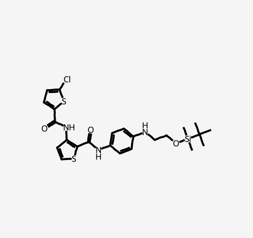 CC(C)(C)[Si](C)(C)OCCNc1ccc(NC(=O)c2sccc2NC(=O)c2ccc(Cl)s2)cc1